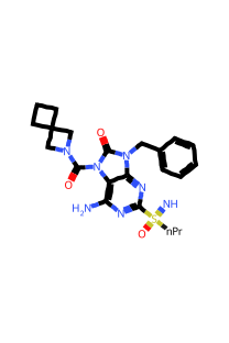 CCCS(=N)(=O)c1nc(N)c2c(n1)n(Cc1ccccc1)c(=O)n2C(=O)N1CC2(CCC2)C1